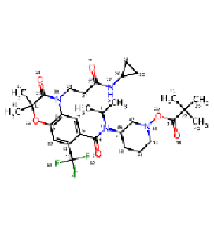 CC(C)N(C(=O)c1cc2c(cc1C(F)(F)F)OC(C)(C)C(=O)N2CCC(=O)NC1CC1)[C@@H]1CCCN(OC(=O)C(C)(C)C)C1